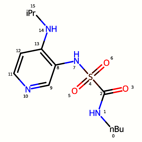 CCCCNC(=O)S(=O)(=O)Nc1cnccc1NC(C)C